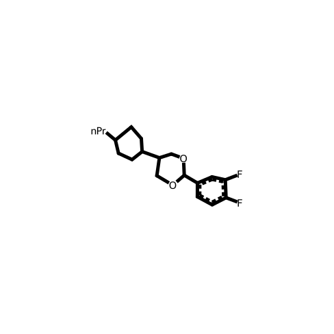 CCCC1CCC(C2COC(c3ccc(F)c(F)c3)OC2)CC1